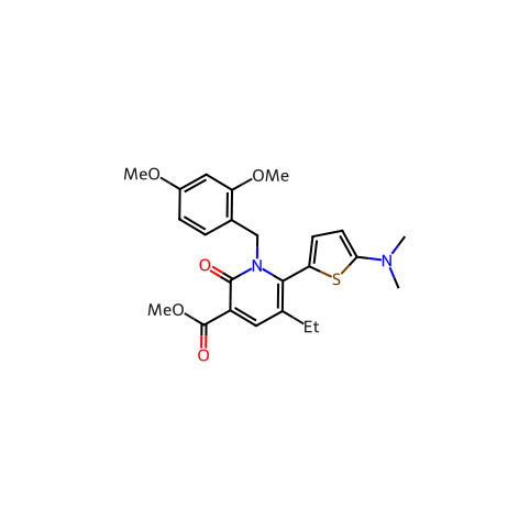 CCc1cc(C(=O)OC)c(=O)n(Cc2ccc(OC)cc2OC)c1-c1ccc(N(C)C)s1